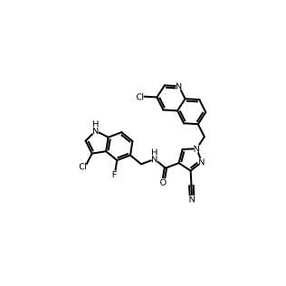 N#Cc1nn(Cc2ccc3ncc(Cl)cc3c2)cc1C(=O)NCc1ccc2[nH]cc(Cl)c2c1F